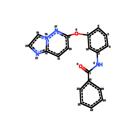 O=C(Nc1cccc(Oc2ccc3nccn3n2)c1)c1ccccc1